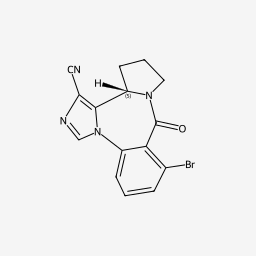 N#Cc1ncn2c1[C@@H]1CCCN1C(=O)c1c(Br)cccc1-2